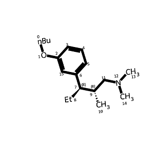 CCCCOc1cccc([C@H](CC)[C@@H](C)CN(C)C)c1